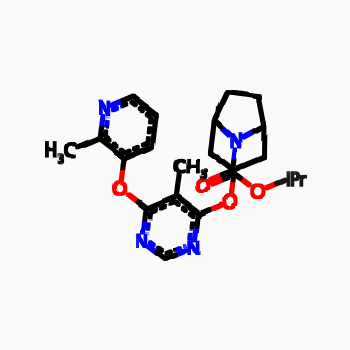 Cc1ncccc1Oc1ncnc(OC2CC3CCC(C2)N3C(=O)OC(C)C)c1C